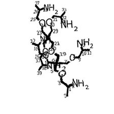 CC(N)COCC(COCC(C)N)(COCC(C)N)COCC(COCC(C)N)(COCC(C)N)COCC(C)N